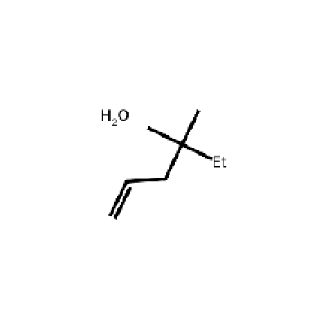 C=CCC(C)(C)CC.O